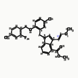 CO/C=C/c1cn(Cc2cc(Cl)ccc2OCc2ccc(Cl)cc2F)c2cccc(C(=O)OC)c12